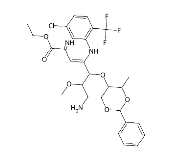 CCOC(=O)C(=N)/C=C(\Nc1cc(Cl)ccc1C(F)(F)F)C(OC1COC(c2ccccc2)OC1C)C(CN)OC